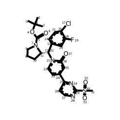 CC(C)(C)OC(=O)N1CCCC1[C@H](c1ccc(Cl)c(F)c1)n1ccc(-c2ccnc(S(C)(=O)=O)n2)cc1=O